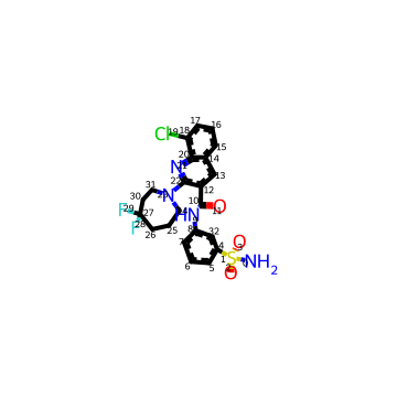 NS(=O)(=O)c1cccc(NC(=O)c2cc3cccc(Cl)c3nc2N2CCCC(F)(F)CC2)c1